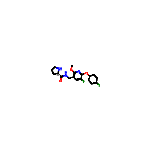 COc1nc(OC2CCC(F)CC2)c(F)cc1CNC(=O)[C@@H]1CCCN1